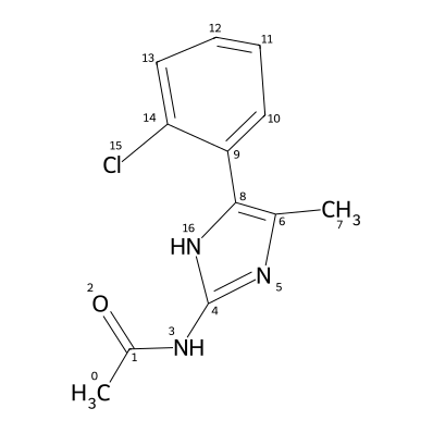 CC(=O)Nc1nc(C)c(-c2ccccc2Cl)[nH]1